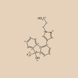 O=C(O)CCn1cc(-c2cccc3c2-c2ccccc2C3(O)C(F)(F)F)cn1